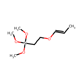 CC=COCC[Si](OC)(OC)OC